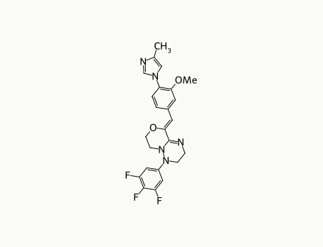 COc1cc(/C=C2\OCCN3C2=NCCN3c2cc(F)c(F)c(F)c2)ccc1-n1cnc(C)c1